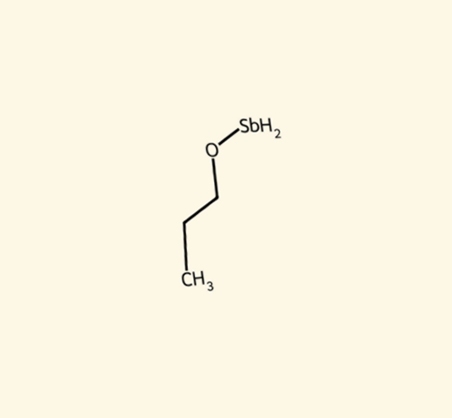 CCC[O][SbH2]